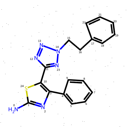 Nc1nc(-c2ccccc2)c(-c2nnn(CCc3ccccc3)n2)s1